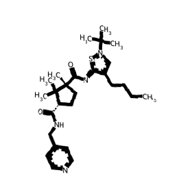 CCCCc1cn(C(C)(C)C)s/c1=N\C(=O)[C@]1(C)CC[C@H](C(=O)NCc2ccncc2)C1(C)C